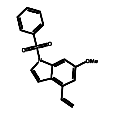 C=Cc1cc(OC)cc2c1ccn2S(=O)(=O)c1ccccc1